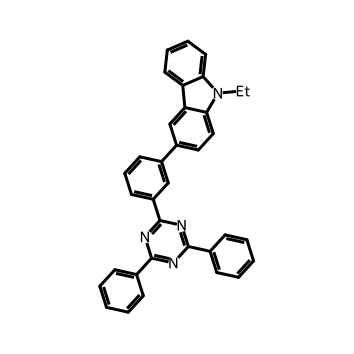 CCn1c2ccccc2c2cc(-c3cccc(-c4nc(-c5ccccc5)nc(-c5ccccc5)n4)c3)ccc21